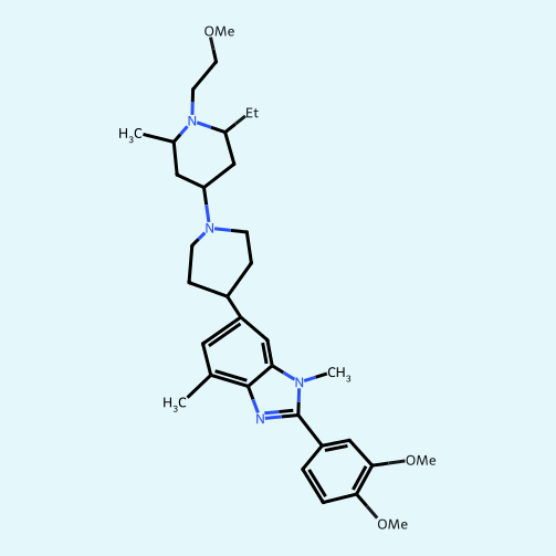 CCC1CC(N2CCC(c3cc(C)c4nc(-c5ccc(OC)c(OC)c5)n(C)c4c3)CC2)CC(C)N1CCOC